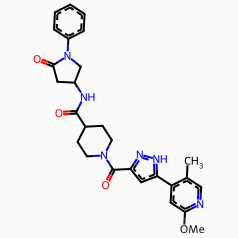 COc1cc(-c2cc(C(=O)N3CCC(C(=O)NC4CC(=O)N(c5ccccc5)C4)CC3)n[nH]2)c(C)cn1